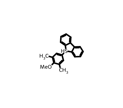 COc1c(C)cc([SH]2c3ccccc3-c3ccccc32)cc1C